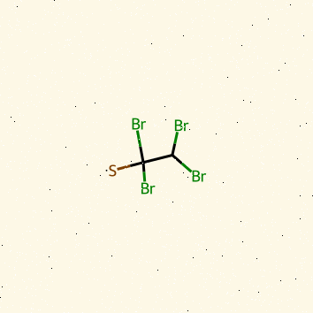 [S]C(Br)(Br)C(Br)Br